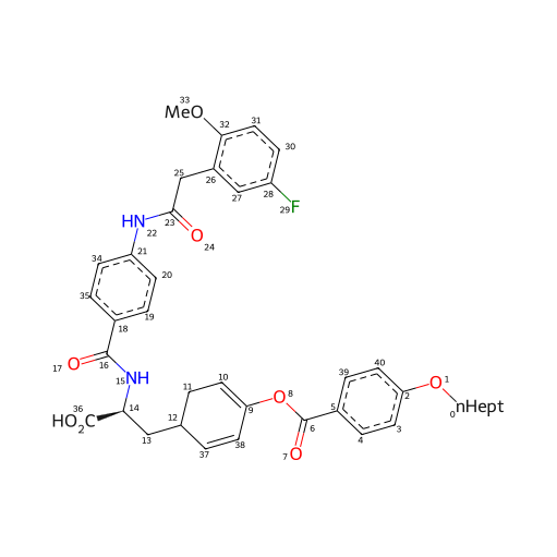 CCCCCCCOc1ccc(C(=O)OC2=CCC(C[C@H](NC(=O)c3ccc(NC(=O)Cc4cc(F)ccc4OC)cc3)C(=O)O)C=C2)cc1